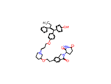 CCC(=C(c1ccc(O)cc1)c1ccc(OCCCN2CCCC(OCCc3ccc4c(c3)CN(C3CCC(=O)NC3=O)C4=O)C2)cc1)c1ccccc1